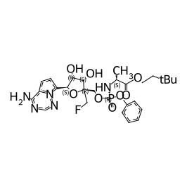 C[C@H](N[P@@](=O)(OC[C@@]1(CF)O[C@@H](c2ccc3c(N)ncnn23)[C@H](O)[C@@H]1O)Oc1ccccc1)C(=O)OCCC(C)(C)C